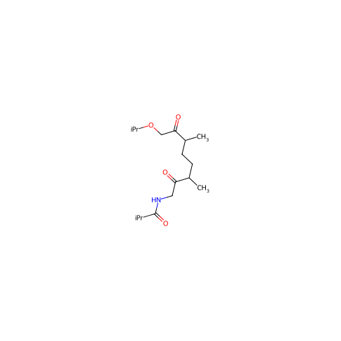 CC(C)OCC(=O)C(C)CCC(C)C(=O)CNC(=O)C(C)C